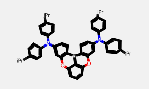 CC(C)c1ccc(N(c2ccc(C(C)C)cc2)c2ccc3c(c2)Oc2cccc4c2B3c2ccc(N(c3ccc(C(C)C)cc3)c3ccc(C(C)C)cc3)cc2O4)cc1